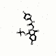 O=C(Cn1nc(OCC(F)(F)F)c2cc(Br)ccc2c1=O)Nc1ncc(F)cn1